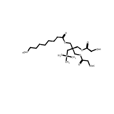 CCCCCCCCCCCCCCCCCC(=O)OCC(COC(=O)CCCCCCCCCCC)(COC(=O)CCCCCCCCCCC)C[N+](C)(C)C